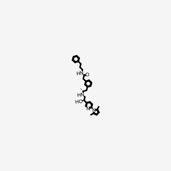 Cc1ccc(C)n1-c1ccc([C@@H](O)CN[C@H](C)Cc2cccc(CC(=O)NCCCc3ccccc3)c2)cn1